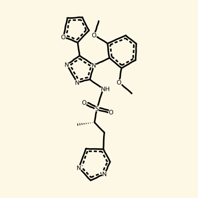 COc1cccc(OC)c1-n1c(NS(=O)(=O)[C@@H](C)Cc2cncnc2)nnc1-c1ccco1